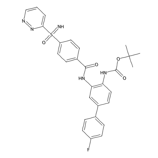 CC(C)(C)OC(=O)Nc1ccc(-c2ccc(F)cc2)cc1NC(=O)c1ccc(S(=N)(=O)c2cccnn2)cc1